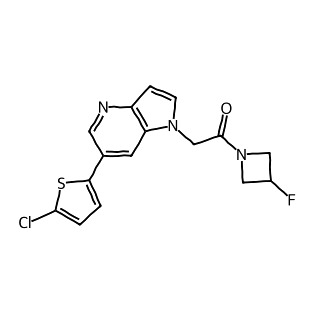 O=C(Cn1ccc2ncc(-c3ccc(Cl)s3)cc21)N1CC(F)C1